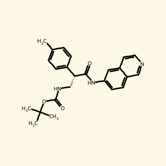 [CH2]c1ccc([C@@H](CNC(=O)OC(C)(C)C)C(=O)Nc2ccc3cnccc3c2)cc1